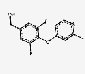 Cc1cc(Oc2c(F)cc(CO)cc2F)ccn1